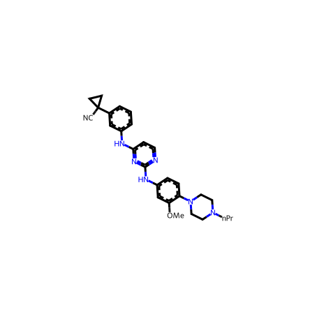 CCCN1CCN(c2ccc(Nc3nccc(Nc4cccc(C5(C#N)CC5)c4)n3)cc2OC)CC1